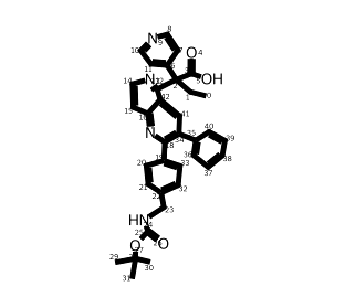 CCC(C(=O)O)(c1ccncc1)c1nccc2nc(-c3ccc(CNC(=O)OC(C)(C)C)cc3)c(-c3ccccc3)cc12